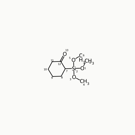 CO[Si](OC)(OC)C1CCCCC1=O